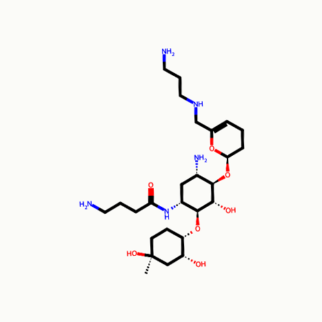 C[C@]1(O)CC[C@H](O[C@@H]2[C@@H](O)[C@H](O[C@@H]3CCC=C(CNCCCN)O3)[C@@H](N)C[C@H]2NC(=O)CCCN)[C@H](O)C1